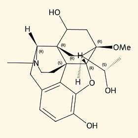 CO[C@]12CC(O)[C@@]3(C[C@@H]1[C@H](C)O)[C@H]1Cc4ccc(O)c5c4[C@@]3(CCN1C)[C@H]2O5